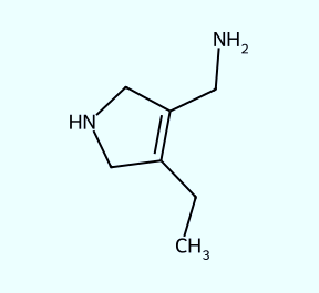 CCC1=C(CN)CNC1